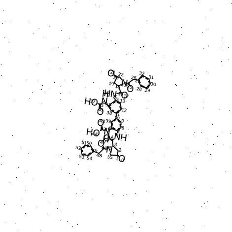 O=C1CC(C(=O)Nc2ccc(-c3ccc(NC(=O)C4CC(=O)CN4C(=O)Cc4ccccc4)c(NC(=O)O)c3)cc2NC(=O)O)N(C(=O)Cc2ccccc2)C1